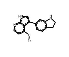 CCOc1ccnc2[nH]cc(-c3ccc4c(c3)NCC4)c12